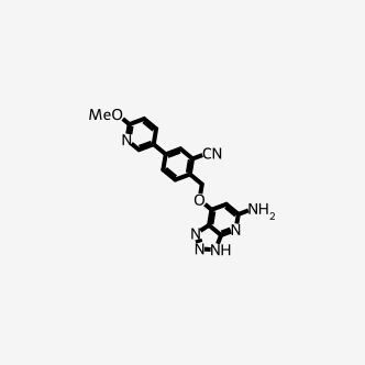 COc1ccc(-c2ccc(COc3cc(N)nc4[nH]nnc34)c(C#N)c2)cn1